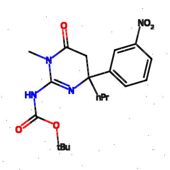 CCCC1(c2cccc([N+](=O)[O-])c2)CC(=O)N(C)C(NC(=O)OC(C)(C)C)=N1